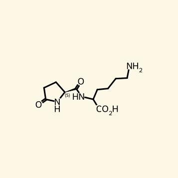 NCCCCC(NC(=O)[C@@H]1CCC(=O)N1)C(=O)O